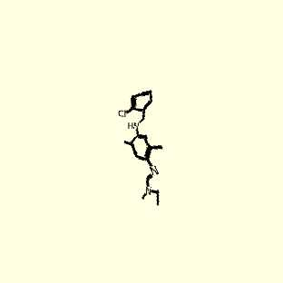 CCN(C)C=Nc1cc(C)c(NCc2ccccc2Cl)cc1C